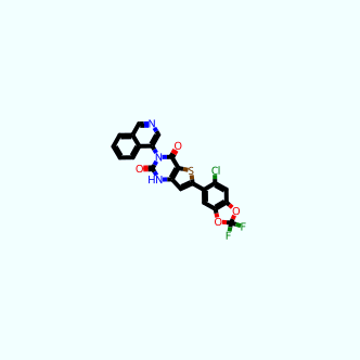 O=c1[nH]c2cc(-c3cc4c(cc3Cl)OC(F)(F)O4)sc2c(=O)n1-c1cncc2ccccc12